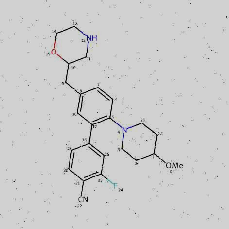 COC1CCN(c2ccc(CC3CNCCO3)cc2-c2ccc(C#N)c(F)c2)CC1